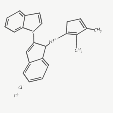 CC1=CC[C]([Hf+2][CH]2C(p3ccc4ccccc43)=Cc3ccccc32)=C1C.[Cl-].[Cl-]